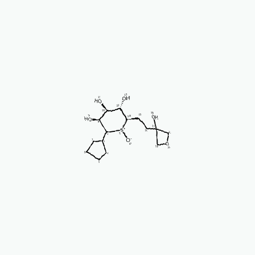 [O-][S+]1C(C2CCCC2)[C@@H](O)[C@@H](O)[C@H](O)[C@H]1CCC1(O)COC1